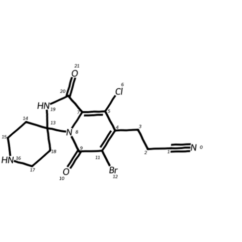 N#CCCc1c(Cl)c2n(c(=O)c1Br)C1(CCNCC1)NC2=O